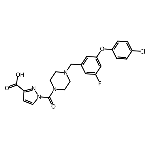 O=C(O)c1ccn(C(=O)N2CCN(Cc3cc(F)cc(Oc4ccc(Cl)cc4)c3)CC2)n1